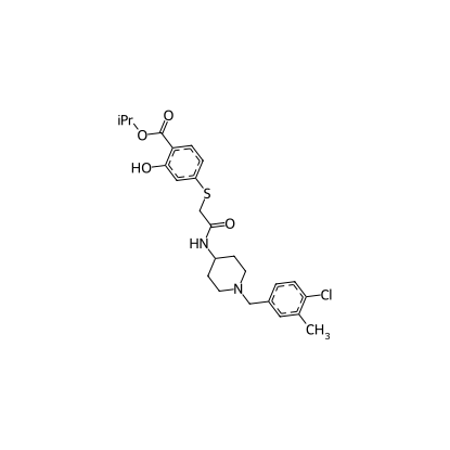 Cc1cc(CN2CCC(NC(=O)CSc3ccc(C(=O)OC(C)C)c(O)c3)CC2)ccc1Cl